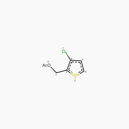 CC(=O)OCc1sccc1Cl